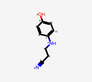 N#CCCNc1ccc(O)cc1